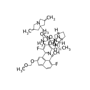 C#Cc1c(F)ccc2cc(OCOC)cc(-c3nc4c5c(nc(OCC67CC(=C)CN6CC(=C)C7)nc5c3F)N3C[C@H]5CC[C@@H]([C@H]3[C@H](C)O4)N5C(=O)OC(C)(C)C)c12